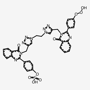 O=c1c2ccccc2nc(-c2ccc(OOO)cc2)n1Cc1cn(CCn2cc(Cn3c(-c4ccc(OS(=O)(=O)O)cc4)nc4ccccc4c3=O)nn2)nn1